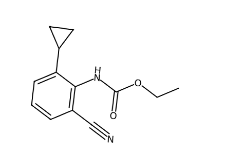 CCOC(=O)Nc1c(C#N)cccc1C1CC1